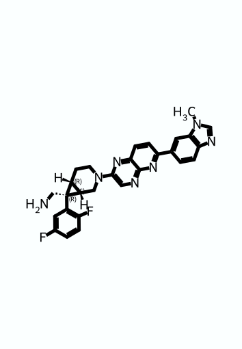 Cn1cnc2ccc(-c3ccc4nc(N5CC[C@@H]6[C@H](C5)[C@@]6(CN)c5cc(F)ccc5F)cnc4n3)cc21